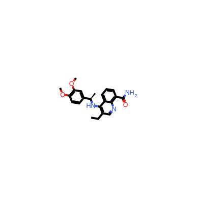 CCc1cnc2c(C(N)=O)cccc2c1N[C@H](C)c1ccc(OC)c(OC)c1